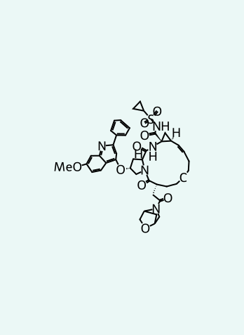 COc1ccc2c(O[C@@H]3C[C@H]4C(=O)N[C@]5(C(=O)NS(=O)(=O)C6CC6)C[C@H]5/C=C\CCCCC[C@H](CC(=O)N5CC6CC5CO6)C(=O)N4C3)cc(-c3ccccc3)nc2c1